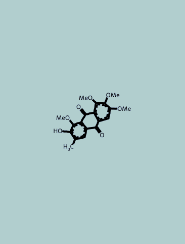 COc1cc2c(c(OC)c1OC)C(=O)c1c(cc(C)c(O)c1OC)C2=O